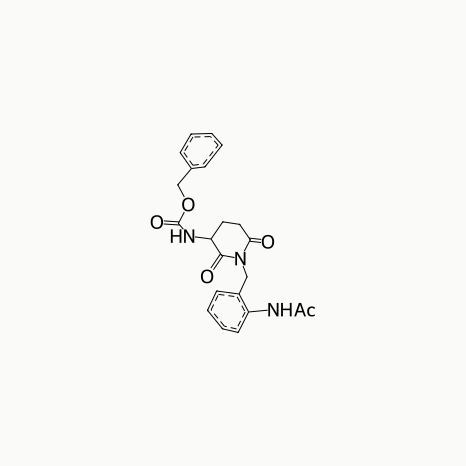 CC(=O)Nc1ccccc1CN1C(=O)CCC(NC(=O)OCc2ccccc2)C1=O